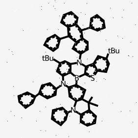 CC(C)(C)c1cc2c3c(c1)N(c1ccc4c(-c5ccccc5)c5ccccc5c(-c5ccccc5)c4c1)c1c(sc4ccc(C(C)(C)C)cc14)B3c1cc3c(cc1N2c1ccc(-c2ccccc2)cc1)N(c1ccccc1)c1ccccc1C3(C)C